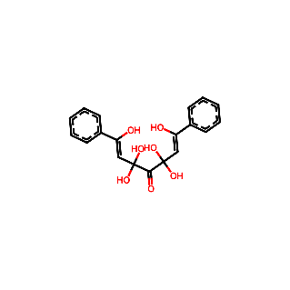 O=C(C(O)(O)C=C(O)c1ccccc1)C(O)(O)C=C(O)c1ccccc1